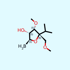 B[C@@H]1O[C@@](COC)(C(C)C)[C@@H](OC)[C@H]1O